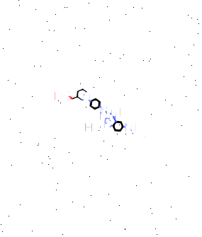 CN1c2ccc(N)cc2N(C)C1N=Nc1ccc(N2CCCC(CO)C2)cc1